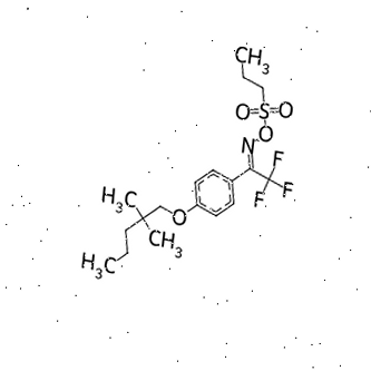 CCCC(C)(C)COc1ccc(/C(=N/OS(=O)(=O)CCC)C(F)(F)F)cc1